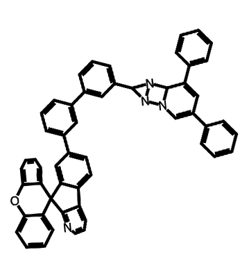 C1=C(c2ccccc2)C=C(c2ccccc2)C2N1N1C(c3cccc(-c4cccc(-c5ccc6c(c5)C5(c7ccccc7Oc7ccccc75)c5ncccc5-6)c4)c3)N21